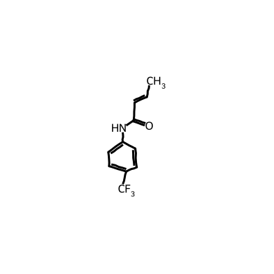 C/C=C/C(=O)Nc1ccc(C(F)(F)F)cc1